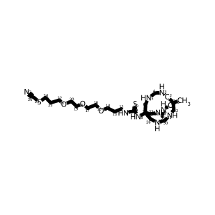 CC12CNCNCC(NC(=S)NCCCOCCOCCOCCCSC#N)(CNCNC1)CNCNC2